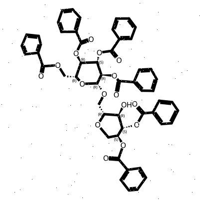 O=C(OC[C@H]1O[C@@H](OC[C@H]2OC[C@H](OC(=O)c3ccccc3)[C@@H](OC(=O)c3ccccc3)[C@@H]2O)[C@H](OC(=O)c2ccccc2)[C@@H](OC(=O)c2ccccc2)[C@@H]1OC(=O)c1ccccc1)c1ccccc1